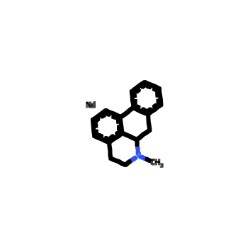 CN1CCc2cccc3c2C1Cc1ccccc1-3.[Nd]